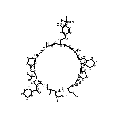 CC[C@H](C)[C@H]1CN[C@@H](CC(C)C)C(C)NCC2[C@@H](C(=O)N3CCCCC3)C(C)N2[C@@H](C(C)C)C(C)NC2(CCCC2)CNCCNC=CC(CCc2ccc(C(F)(F)F)c(Cl)c2)=NC=CN(C)C=C(CC2CCCCC2)N(C)C=C2CCCN2[C@@H](C)C(C)N1